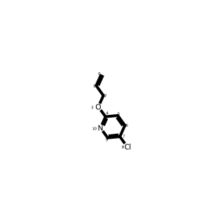 C=CCOc1ccc(Cl)cn1